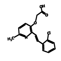 Cc1ccc(OCC(=O)O)c(C=Cc2ccccc2Cl)n1